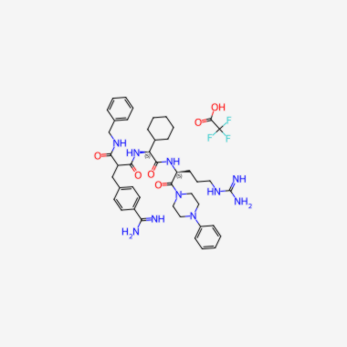 N=C(N)NCCC[C@H](NC(=O)[C@@H](NC(=O)C(Cc1ccc(C(=N)N)cc1)C(=O)NCc1ccccc1)C1CCCCC1)C(=O)N1CCN(c2ccccc2)CC1.O=C(O)C(F)(F)F